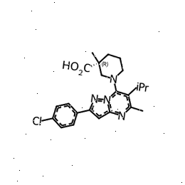 Cc1nc2cc(-c3ccc(Cl)cc3)nn2c(N2CCC[C@@](C)(C(=O)O)C2)c1C(C)C